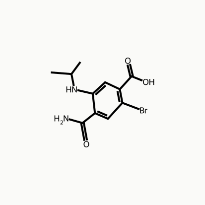 CC(C)Nc1cc(C(=O)O)c(Br)cc1C(N)=O